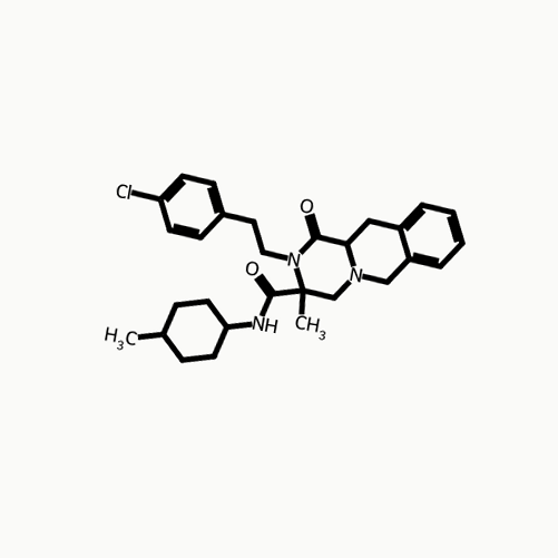 CC1CCC(NC(=O)C2(C)CN3Cc4ccccc4CC3C(=O)N2CCc2ccc(Cl)cc2)CC1